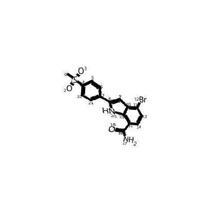 CS(=O)(=O)c1ccc(-c2cc3c(Br)ccc(C(N)=O)c3[nH]2)cc1